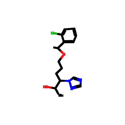 CC(OCCCC(C(O)C(C)(C)C)n1cncn1)c1ccccc1Cl